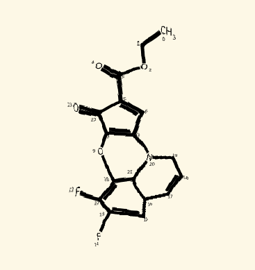 CCOC(=O)C1=CC2=C(OC3=C(F)C(F)=CC4C=CCN2C34)C1=O